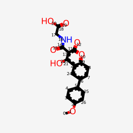 COc1ccc(-c2ccc3oc(=O)c(C(=O)NCC(=O)O)c(O)c3c2)cc1